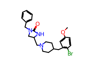 COc1ccc(Br)c(CC2CCN(CC3CN(Cc4ccccc4)C(=O)N3)CC2)c1